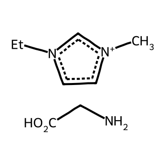 CCn1cc[n+](C)c1.NCC(=O)O